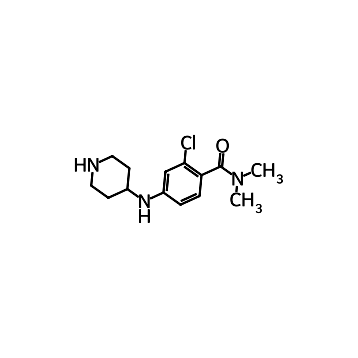 CN(C)C(=O)c1ccc(NC2CCNCC2)cc1Cl